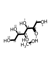 CO.O=C(CO)[C@H](O)[C@@H](O)[C@H](O)CO